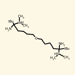 C[SiH](C)C(N)(CCCCOCCCCC(N)([SiH](C)C)C(C)(C)C)C(C)(C)C